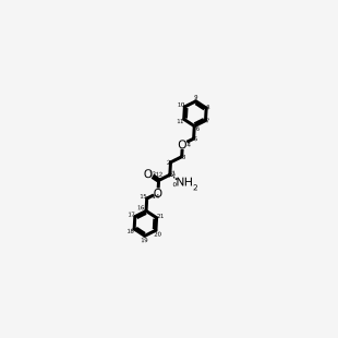 N[C@@H](CCOCc1ccccc1)C(=O)OCc1ccccc1